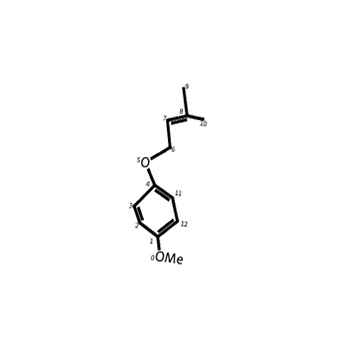 COc1ccc(OCC=C(C)C)cc1